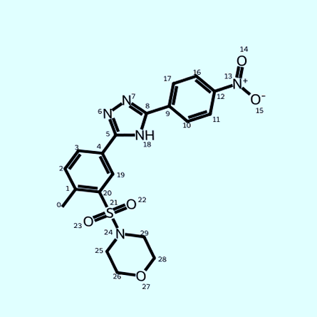 Cc1ccc(-c2nnc(-c3ccc([N+](=O)[O-])cc3)[nH]2)cc1S(=O)(=O)N1CCOCC1